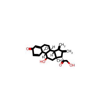 C=C1C(=C)[C@H]2[C@@H]3CCC4=CC(=O)C=C[C@]4(C)[C@H]3C(O)C[C@]2(C)[C@H]1C(=O)CO